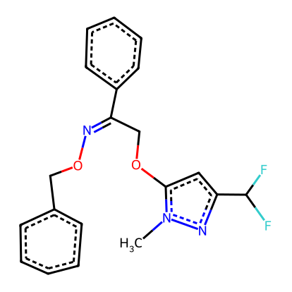 Cn1nc(C(F)F)cc1OCC(=NOCc1ccccc1)c1ccccc1